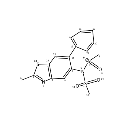 Cc1nc2cc(N(S(C)(=O)=O)S(C)(=O)=O)c(-c3ccccc3)cc2s1